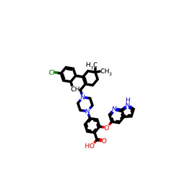 CC1C=C(Cl)C=CC1C1=C(CN2CCN(c3ccc(C(=O)O)c(Oc4cnc5[nH]ccc5c4)c3)CC2)CCC(C)(C)C1